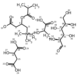 CC(C)C(=O)OC(CC(=O)[O-])C[N+](C)(C)C.CC(O)C(=O)O.O=C(O)CC(O)C(=O)O.O=C[C@@H](O)[C@@H](O)[C@H](O)[C@H](O)CO